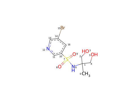 CC(CO)(CO)NS(=O)(=O)c1cncc(Br)c1